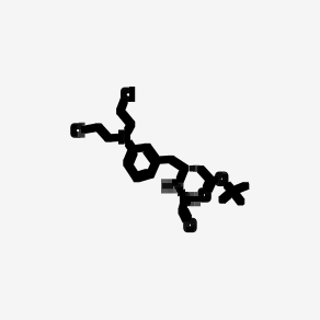 CC(C)(C)OC(=O)C[C@@H](Cc1cccc(N(CCCl)CCCl)c1)NBC=O